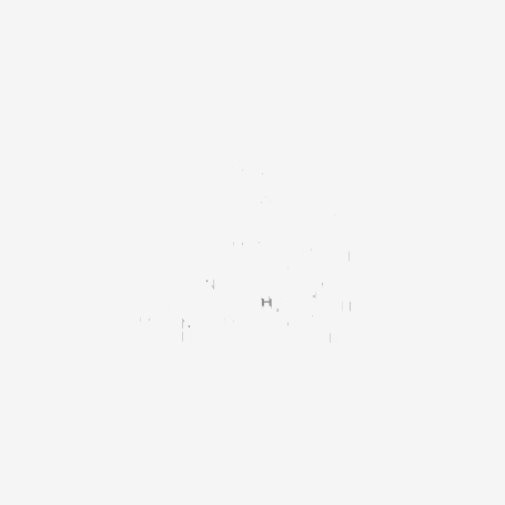 CC(=O)OCC1(COC(C)=O)OC(n2ccc(=O)[nH]c2=O)C(C)C1O[Si](C)(C)C(C)(C)C